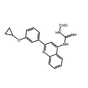 N=C(NC=O)Nc1cc(-c2cccc(OC3CC3)c2)nc2ccccc12